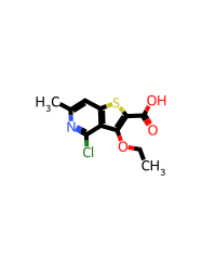 CCOc1c(C(=O)O)sc2cc(C)nc(Cl)c12